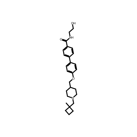 CC1(CN2CCC(COc3ccc(-c4ccc(C(=O)NCCO)cc4)cc3)CC2)CCC1